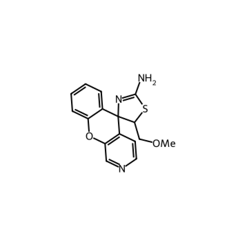 COCC1SC(N)=NC12c1ccccc1Oc1cnccc12